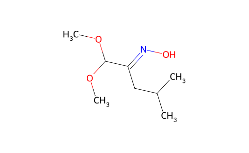 COC(OC)C(CC(C)C)=NO